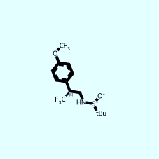 CC(C)(C)[S+]([O-])NC[C@H](c1ccc(OC(F)(F)F)cc1)C(F)(F)F